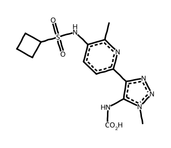 Cc1nc(-c2nnn(C)c2NC(=O)O)ccc1NS(=O)(=O)C1CCC1